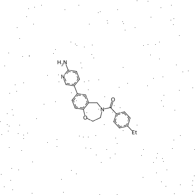 CCc1ccc(C(=O)N2CCOc3ccc(-c4ccc(N)nc4)cc3C2)cc1